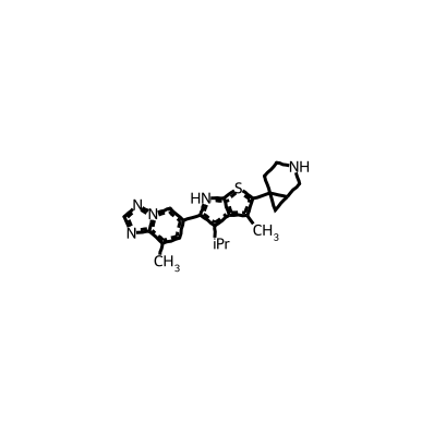 Cc1c(C23CCNCC2C3)sc2[nH]c(-c3cc(C)c4ncnn4c3)c(C(C)C)c12